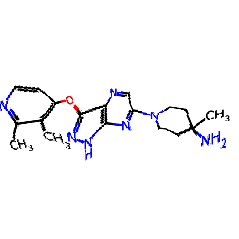 Cc1nccc(Oc2n[nH]c3nc(N4CCC(C)(N)CC4)cnc23)c1C